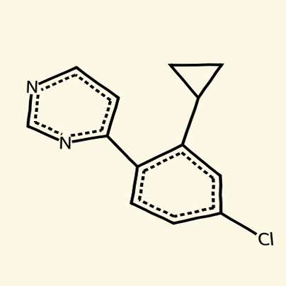 Clc1ccc(-c2ccncn2)c(C2CC2)c1